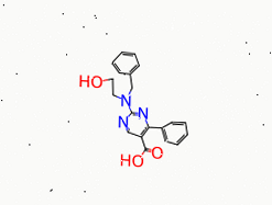 O=C(O)c1cnc(N(CCO)Cc2ccccc2)nc1-c1ccccc1